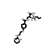 CCCS(=O)(=O)NC(CNC(=O)c1ccc(OCCNC2=NCCCN2)cc1)C(=O)O